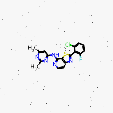 Cc1cc(Nc2nccc3nc(-c4c(F)cccc4Cl)sc23)nc(C)n1